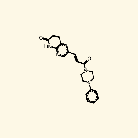 O=C1CCc2cc(/C=C/C(=O)N3CCN(c4ccccc4)CC3)cnc2N1